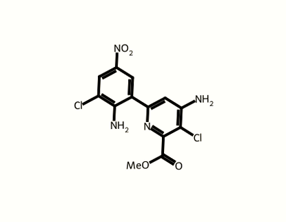 COC(=O)c1nc(-c2cc([N+](=O)[O-])cc(Cl)c2N)cc(N)c1Cl